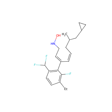 CCc1ccc(C(F)F)c(C(=CCNO)/C=C\CC(C)CC2CC2)c1F